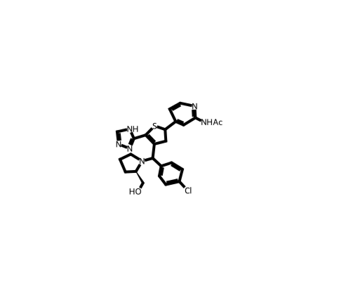 CC(=O)Nc1cc(C2CC(C(c3ccc(Cl)cc3)N3CCC[C@@H]3CO)=C(c3nnc[nH]3)S2)ccn1